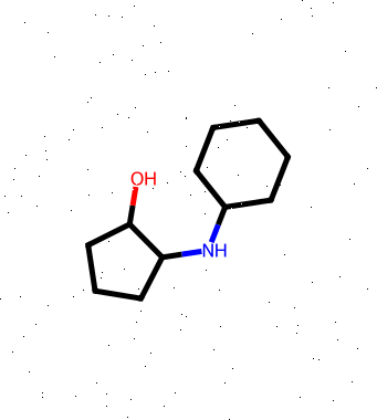 OC1CCCC1NC1CCCCC1